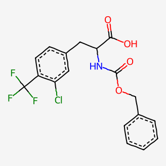 O=C(NC(Cc1ccc(C(F)(F)F)c(Cl)c1)C(=O)O)OCc1ccccc1